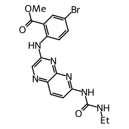 CCNC(=O)Nc1ccc2ncc(Nc3ccc(Br)cc3C(=O)OC)nc2n1